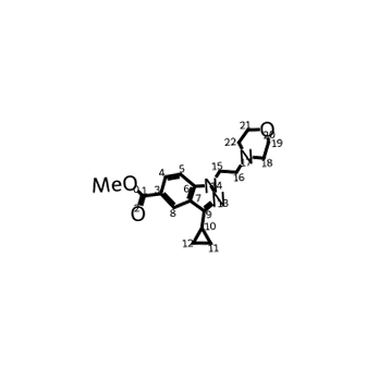 COC(=O)c1ccc2c(c1)c(C1CC1)nn2CCN1CCOCC1